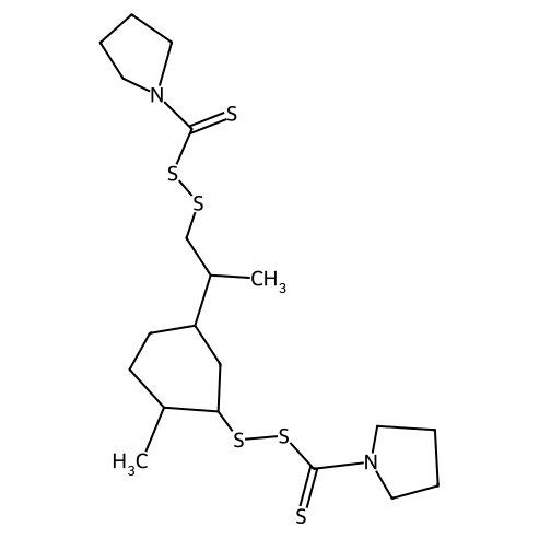 CC(CSSC(=S)N1CCCC1)C1CCC(C)C(SSC(=S)N2CCCC2)C1